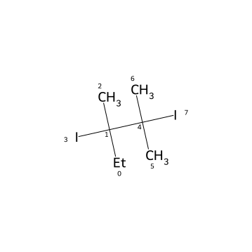 CCC(C)(I)C(C)(C)I